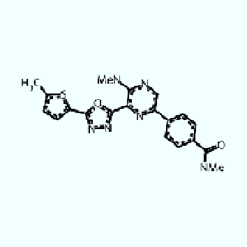 CNC(=O)c1ccc(-c2cnc(NC)c(-c3nnc(-c4ccc(C)s4)o3)n2)cc1